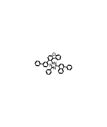 c1ccc(-c2cccc(-c3ccc4oc5ccccc5c4c3-c3nc(-c4ccccc4)nc(-c4ccc(-c5ccccc5)c5ccccc45)n3)c2)cc1